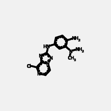 CN(N)c1cc(Nc2nc3c(Cl)nccn3n2)ccc1N